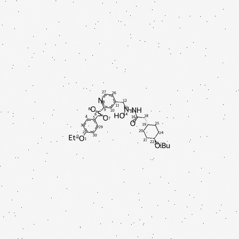 CCOc1ccc(S(=O)(=O)c2cc(CN(O)NC(=O)C[C@H]3CC[C@H](OCC(C)C)CC3)ccn2)cc1